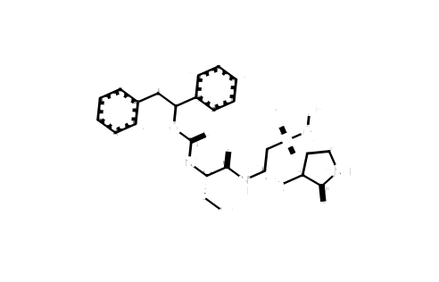 CC(C)C[C@H](NC(=O)OC(Cc1ccccc1)c1ccccc1)C(=O)N[C@@H](CC1CCNC1=O)CS(=O)(=O)OO